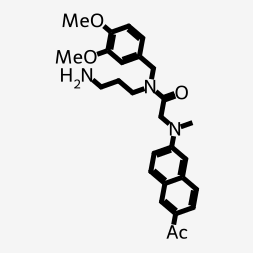 COc1ccc(CN(CCCN)C(=O)CN(C)c2ccc3cc(C(C)=O)ccc3c2)cc1OC